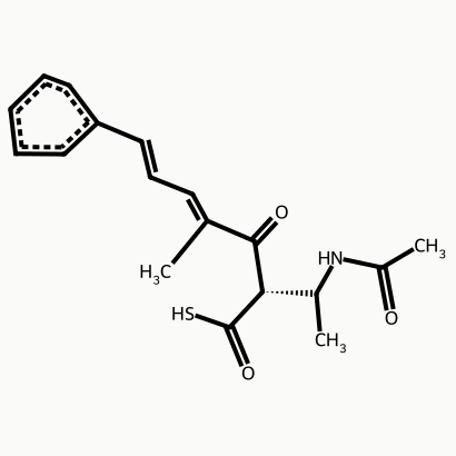 CC(=O)NC(C)[C@H](C(=O)S)C(=O)/C(C)=C/C=C/c1ccccc1